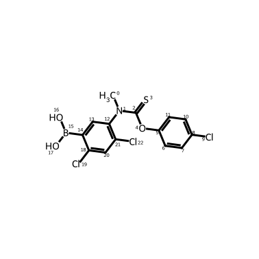 CN(C(=S)Oc1ccc(Cl)cc1)c1cc(B(O)O)c(Cl)cc1Cl